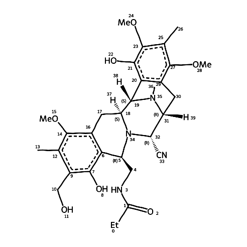 CCC(=O)NC[C@H]1c2c(O)c(CO)c(C)c(OC)c2C[C@H]2[C@@H]3c4c(O)c(OC)c(C)c(OC)c4C[C@H]([C@H](C#N)N12)N3C